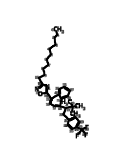 CCCCCCCCCCCc1noc(-c2ccc([C](Cc3ccc(C(F)(F)F)cc3)C(C)(C)C)c3ccccc23)n1